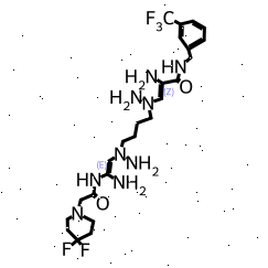 N/C(=C\N(N)CCCCN(N)/C=C(\N)NC(=O)CN1CCC(F)(F)CC1)C(=O)NCc1cccc(C(F)(F)F)c1